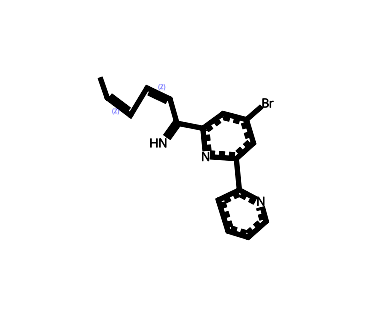 C/C=C\C=C/C(=N)c1cc(Br)cc(-c2ccccn2)n1